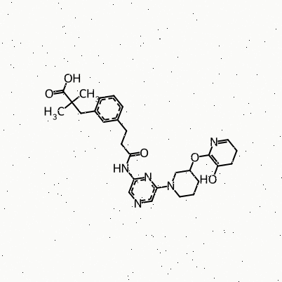 CC(C)(Cc1cccc(CCC(=O)Nc2cncc(N3CCCC(OC4=C(O)CCC=N4)C3)n2)c1)C(=O)O